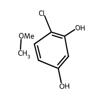 COC.Oc1ccc(Cl)c(O)c1